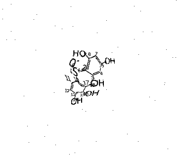 [O-][S+](c1ccc(O)cc1O)c1ccc(O)c(O)c1O